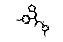 Nc1ccc(/C(=C\C2CCCC2)C(=O)Nc2ncc(Cl)s2)cn1